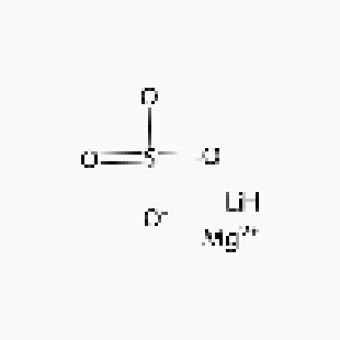 O=S(=O)([O-])[O-].[LiH].[Mg+2]